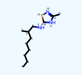 CCCCCCC(C)CN[C@H]1NC(C)=NS1